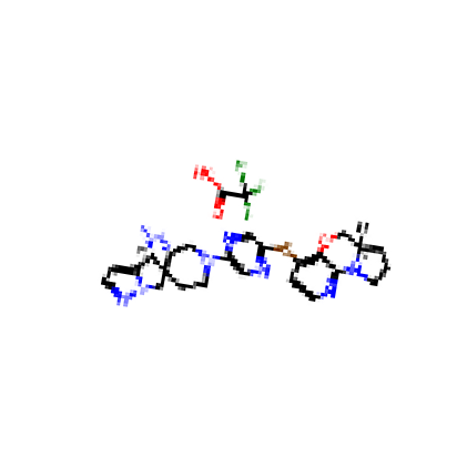 N[C@@H]1c2ccnn2CC12CCN(c1cnc(Sc3ccnc4c3OC[C@@H]3CCCN43)cn1)CC2.O=C(O)C(F)(F)F